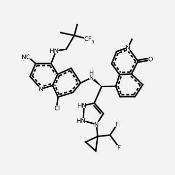 Cn1ccc2c([C@H](Nc3cc(Cl)c4ncc(C#N)c(NCC(C)(C)C(F)(F)F)c4c3)C3=CN(C4(C(F)F)CC4)NN3)cccc2c1=O